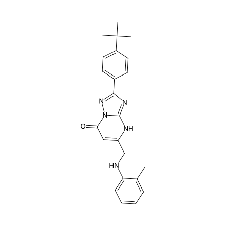 Cc1ccccc1NCc1cc(=O)n2nc(-c3ccc(C(C)(C)C)cc3)nc2[nH]1